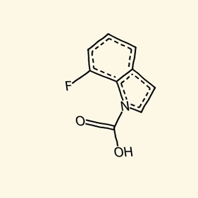 O=C(O)n1ccc2cccc(F)c21